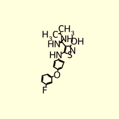 CC(C)NC(=N)c1c(O)nsc1Nc1ccc(Oc2cccc(F)c2)cc1